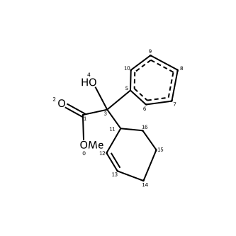 COC(=O)C(O)(c1ccccc1)C1C=CCCC1